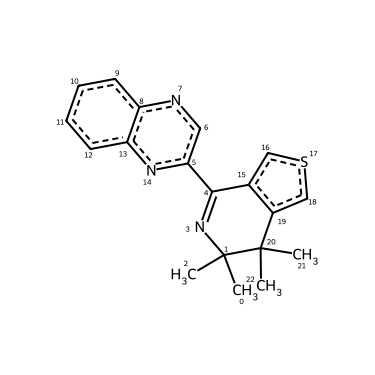 CC1(C)N=C(c2cnc3ccccc3n2)c2cscc2C1(C)C